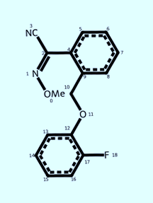 CO/N=C(/C#N)c1ccccc1COc1ccccc1F